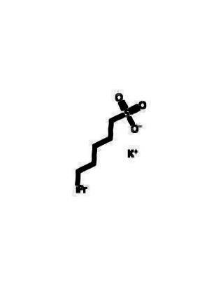 CC(C)CCCCCS(=O)(=O)[O-].[K+]